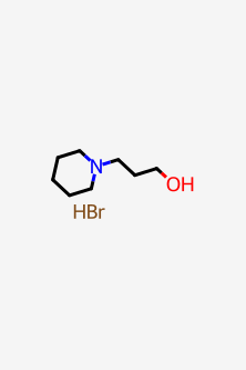 Br.OCCCN1CCCCC1